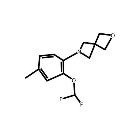 Cc1ccc(N2CC3(COC3)C2)c(OC(F)F)c1